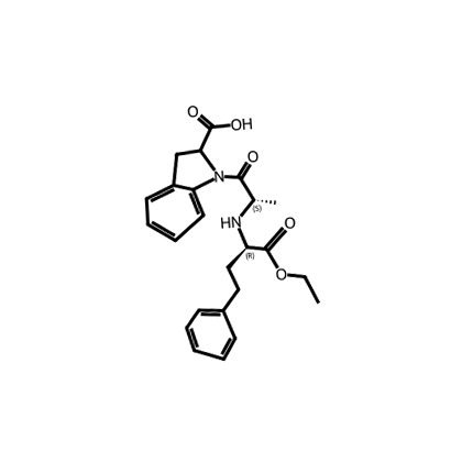 CCOC(=O)[C@@H](CCc1ccccc1)N[C@@H](C)C(=O)N1c2ccccc2CC1C(=O)O